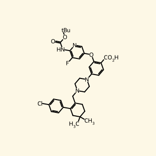 CC1(C)CCC(CN2CCN(c3ccc(C(=O)O)c(Oc4cnc(NC(=O)OC(C)(C)C)c(F)c4)c3)CC2)=C(c2ccc(Cl)cc2)C1